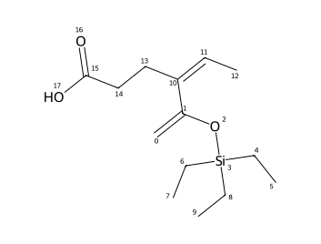 C=C(O[Si](CC)(CC)CC)/C(=C\C)CCC(=O)O